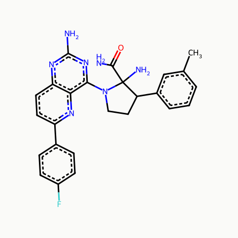 Cc1cccc(C2CCN(c3nc(N)nc4ccc(-c5ccc(F)cc5)nc34)C2(N)C(N)=O)c1